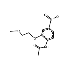 COCCOc1cc([N+](=O)[O-])ccc1NC(C)=O